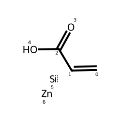 C=CC(=O)O.[Si].[Zn]